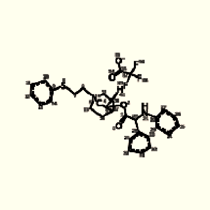 O=C(O[C@H]1C[N+]2(CCSc3ccccc3)CCC1CC2)C(Nc1ccccc1)c1ccccc1.O=C([O-])C(F)(F)F